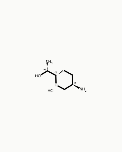 C[C@@H](O)[C@@H]1CC[C@@H](N)CO1.Cl